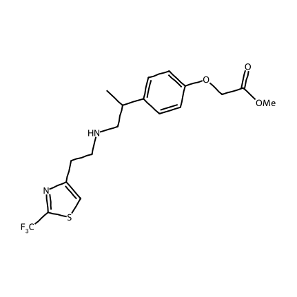 COC(=O)COc1ccc(C(C)CNCCc2csc(C(F)(F)F)n2)cc1